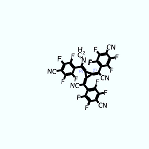 C=N/C(=C1/C(=C(C#N)c2c(F)c(F)c(C#N)c(F)c2F)/C1=C(\C#N)c1c(F)c(F)c(C#N)c(F)c1F)c1c(F)c(F)c(C#N)c(F)c1F